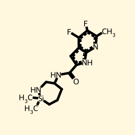 Cc1nc2[nH]c(C(=O)NC3CCC[Si](C)(C)NC3)cc2c(F)c1F